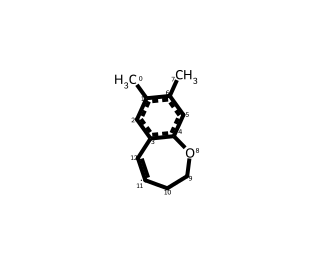 Cc1cc2c(cc1C)OCC[C]=C2